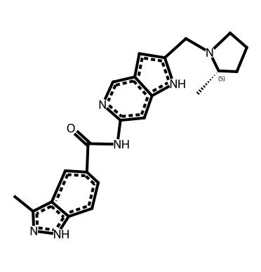 Cc1n[nH]c2ccc(C(=O)Nc3cc4[nH]c(CN5CCC[C@@H]5C)cc4cn3)cc12